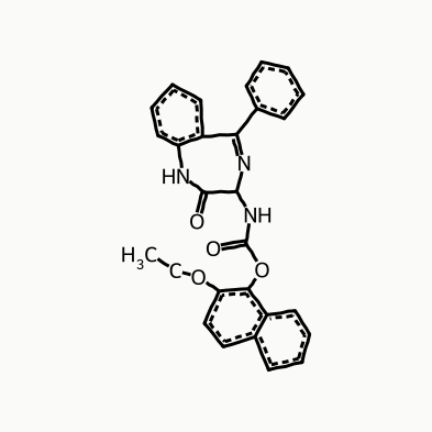 CCOc1ccc2ccccc2c1OC(=O)NC1N=C(c2ccccc2)c2ccccc2NC1=O